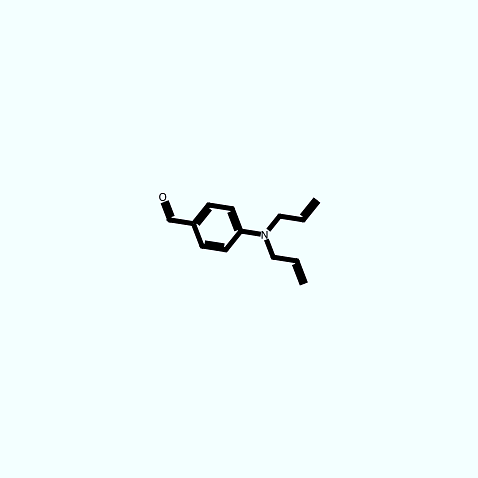 C=CCN(CC=C)c1ccc([C]=O)cc1